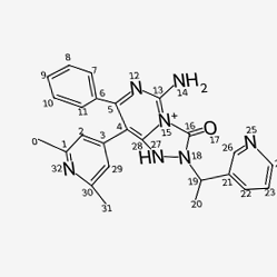 Cc1cc(-c2c(-c3ccccc3)nc(N)[n+]3c(=O)n(C(C)c4cccnc4)[nH]c23)cc(C)n1